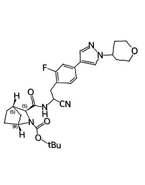 CC(C)(C)OC(=O)N1[C@@H]2CC[C@@H](C2)[C@H]1C(=O)NC(C#N)Cc1ccc(-c2cnn(C3CCOCC3)c2)cc1F